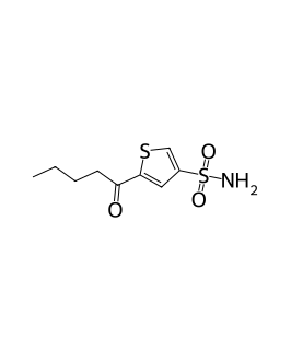 CCCCC(=O)c1cc(S(N)(=O)=O)cs1